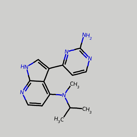 CC(C)N(C)c1ccnc2[nH]cc(-c3ccnc(N)n3)c12